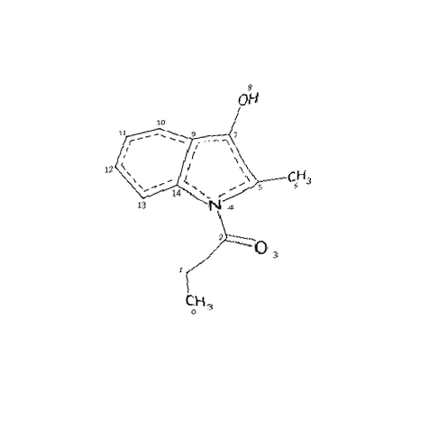 CCC(=O)n1c(C)c(O)c2ccccc21